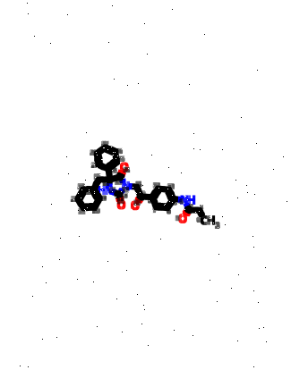 CCC(=O)Nc1ccc(C(=O)CN2C(=O)NC(Cc3ccccc3)(c3ccccc3)C2=O)cc1